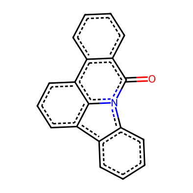 O=c1c2ccccc2c2cccc3c4ccccc4n1c23